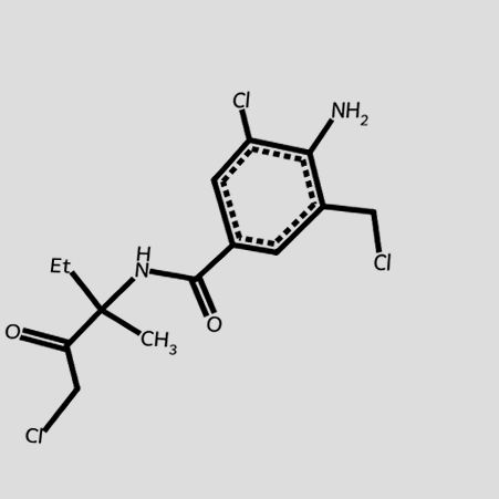 CCC(C)(NC(=O)c1cc(Cl)c(N)c(CCl)c1)C(=O)CCl